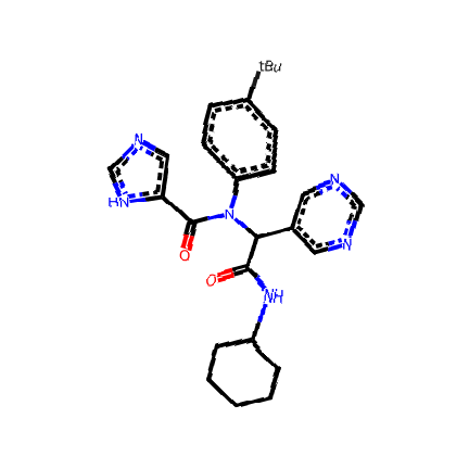 CC(C)(C)c1ccc(N(C(=O)c2cnc[nH]2)C(C(=O)NC2CCCCC2)c2cncnc2)cc1